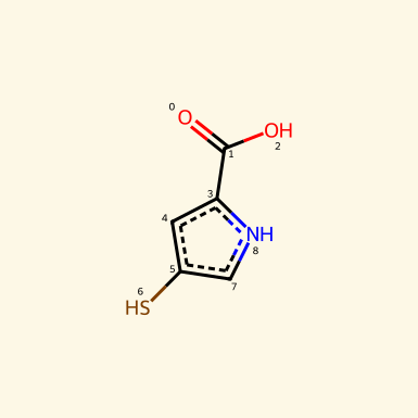 O=C(O)c1cc(S)c[nH]1